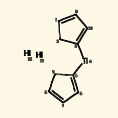 C1=CC[C]([Ti][C]2=CC=CC2)=C1.I.I